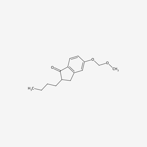 CCCCC1Cc2cc(OCOC)ccc2C1=O